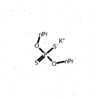 CCCOP(=S)([S-])OCCC.[K+]